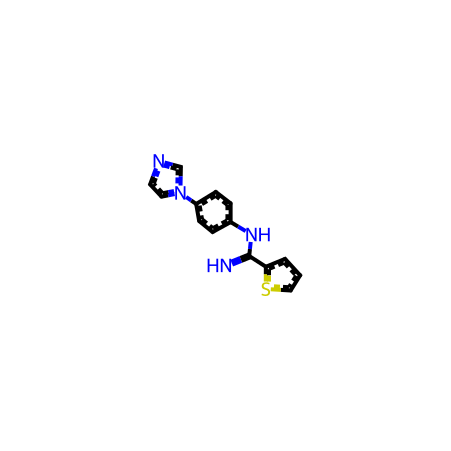 N=C(Nc1ccc(-n2ccnc2)cc1)c1cccs1